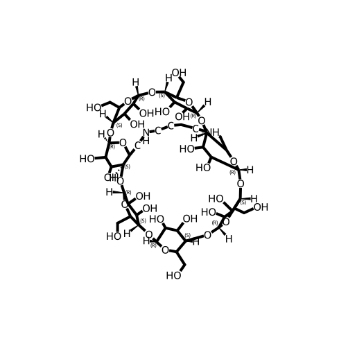 OCC1O[C@@H]2O[C@@H]3C(CO)O[C@H](O[C@@H]4C5CNCCCCNCC6O[C@H](O[C@@H]7C(CO)O[C@H](O[C@H]1C(O)C2O)C(O)C7O)C(O)C(O)[C@@H]6O[C@H]1OC(CO)[C@@H](O[C@H]2OC(CO)[C@@H](O[C@@H](O5)C(O)C4O)C(O)C2O)C(O)C1O)C(O)C3O